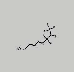 OCCCCOC(F)(F)C(F)C(F)(F)F